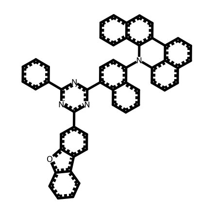 c1ccc(-c2nc(-c3ccc4c(c3)oc3ccccc34)nc(-c3ccc(N4c5c(ccc6ccccc56)-c5cccc6cccc4c56)c4ccccc34)n2)cc1